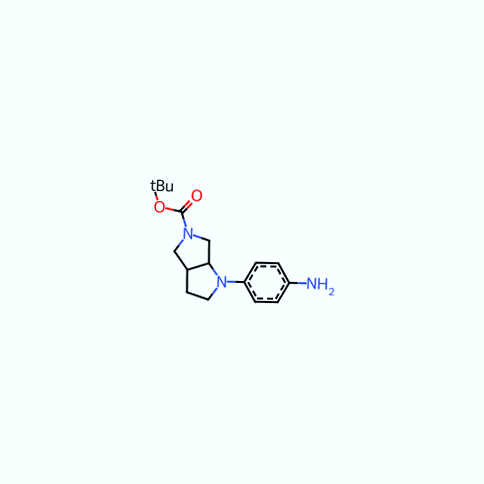 CC(C)(C)OC(=O)N1CC2CCN(c3ccc(N)cc3)C2C1